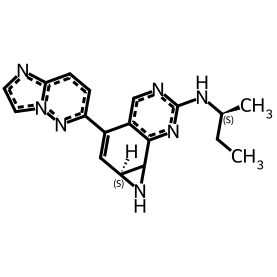 CC[C@H](C)Nc1ncc2c(n1)C1N[C@H]1C=C2c1ccc2nccn2n1